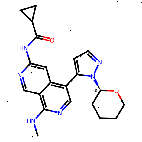 CNc1ncc(-c2ccnn2[C@@H]2CCCCO2)c2cc(NC(=O)C3CC3)ncc12